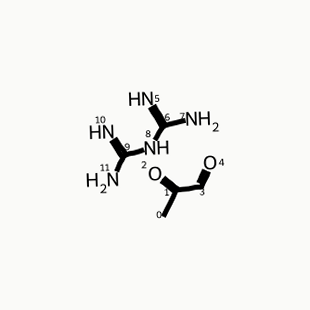 CC(=O)C=O.N=C(N)NC(=N)N